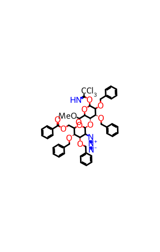 COC(=O)C1OC(OC(=N)C(Cl)(Cl)Cl)C(OCc2ccccc2)[C@H](OCc2ccccc2)[C@@H]1O[C@@H]1OC(COC(=O)c2ccccc2)[C@@H](OCc2ccccc2)[C@H](OCc2ccccc2)C1N=[N+]=[N-]